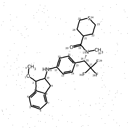 COC1c2ccccc2CC1Nc1ccc([C@H](N(C)C(=O)C2CCSCC2)C(F)(F)F)cc1